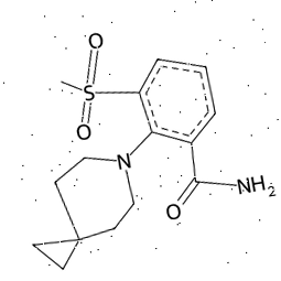 CS(=O)(=O)c1cccc(C(N)=O)c1N1CCC2(CC1)CC2